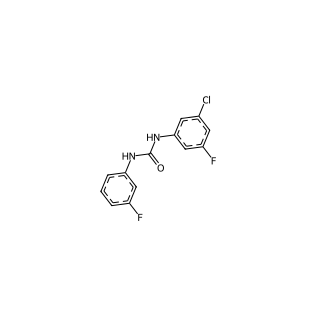 O=C(Nc1cccc(F)c1)Nc1cc(F)cc(Cl)c1